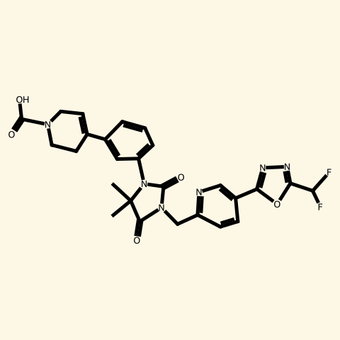 CC1(C)C(=O)N(Cc2ccc(-c3nnc(C(F)F)o3)cn2)C(=O)N1c1cccc(C2=CCN(C(=O)O)CC2)c1